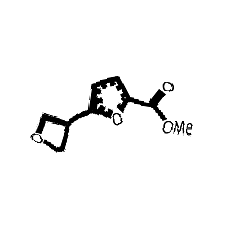 COC(=O)c1ccc(C2COC2)o1